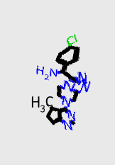 CC1CCc2ncnc(N3CCn4c(nnc4C(N)c4ccc(Cl)cc4)C3)c21